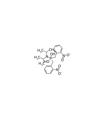 CC(C)N(C(C)C)P(O)(O)(Cc1ccccc1[N+](=O)[O-])Cc1ccccc1[N+](=O)[O-]